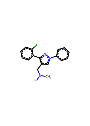 CCN(C)Cc1cn(-c2ccccc2)nc1-c1ccccc1F